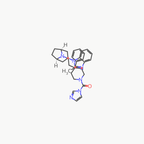 Cc1nc2ccccc2n1[C@H]1C[C@H]2CC[C@@H](C1)N2CCC1(c2ccccc2)CCN(C(=O)n2ccnc2)CC1